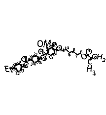 C=C(C)C(=O)OCCCCCCOc1ccc(C(=O)Oc2ccc(C(=O)Oc3ccc(CC)cc3)cc2)cc1OC